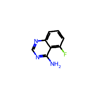 Nc1ncnc2cccc(F)c12